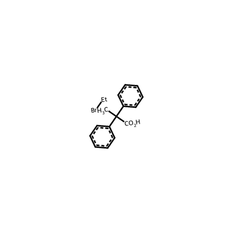 CC(C(=O)O)(c1ccccc1)c1ccccc1.CCBr